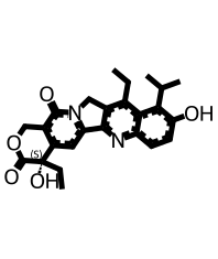 CCc1c2c(nc3ccc(O)c(C(C)C)c13)-c1cc3c(c(=O)n1C2)COC(=O)[C@]3(O)CC